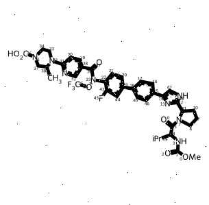 COC(=O)NC(C(=O)N1CCCC1c1nc(-c2ccc(-c3ccc(N(OC(F)(F)F)C(=O)c4ccc(N5CCN(C(=O)O)CC5C)nc4)c(F)c3)cc2)c[nH]1)C(C)C